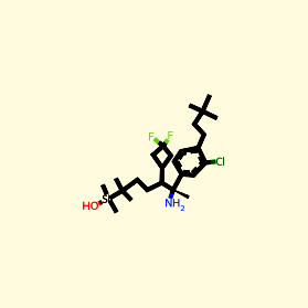 CC(C)(C)CCc1ccc([C@](C)(N)C(CCC(C)(C)[Si](C)(C)O)C2CC(F)(F)C2)cc1Cl